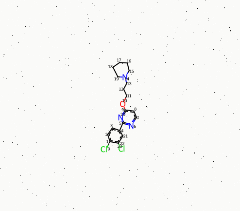 Clc1ccc(-c2nccc(OCCCN3CCCCC3)n2)cc1Cl